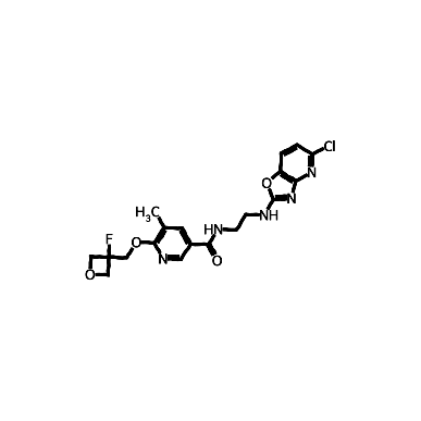 Cc1cc(C(=O)NCCNc2nc3nc(Cl)ccc3o2)cnc1OCC1(F)COC1